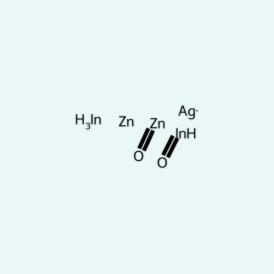 [Ag].[InH3].[O]=[InH].[O]=[Zn].[Zn]